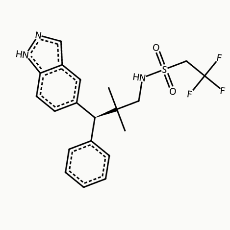 CC(C)(CNS(=O)(=O)CC(F)(F)F)[C@@H](c1ccccc1)c1ccc2[nH]ncc2c1